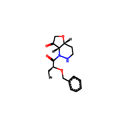 CC(C)C[C@H](OCc1ccccc1)C(=O)N1NCC[C@H]2OCC(=O)[C@H]21